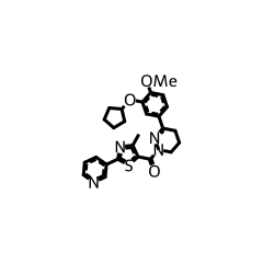 COc1ccc(C2=NN(C(=O)c3sc(-c4cccnc4)nc3C)CCC2)cc1OC1CCCC1